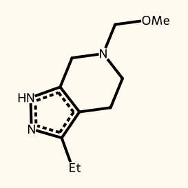 CCc1n[nH]c2c1CCN(COC)C2